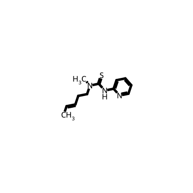 CC=CCCN(C)C(=S)Nc1ccccn1